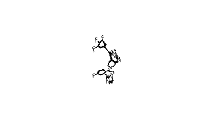 Cn1nc2c(c1-c1cc(F)c(F)c(F)c1)CCN(C(=O)c1ccc(F)cc1-n1nccn1)C2